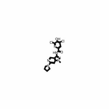 Cn1nc(NC(=O)c2cc(Cl)c(O)c(Cl)n2)c2cnc(N3CCCC3)cc21